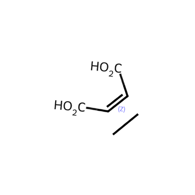 CC.O=C(O)/C=C\C(=O)O